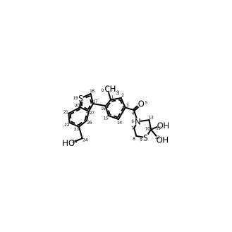 Cc1cc(C(=O)N2CCSC(O)(O)C2)ccc1-c1csc2ccc(CO)cc12